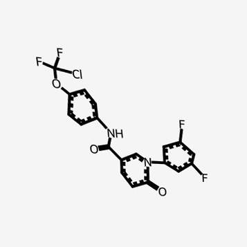 O=C(Nc1ccc(OC(F)(F)Cl)cc1)c1ccc(=O)n(-c2cc(F)cc(F)c2)c1